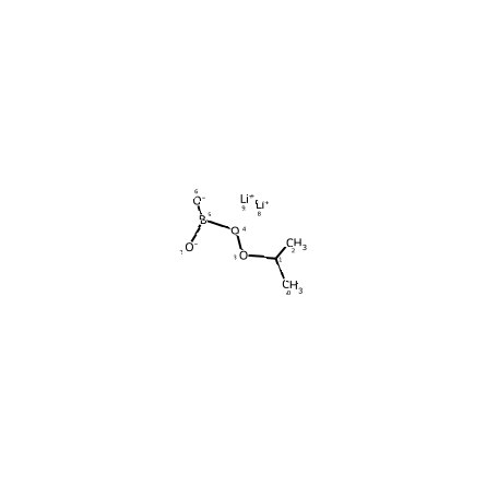 CC(C)OOB([O-])[O-].[Li+].[Li+]